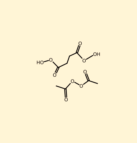 CC(=O)OOC(C)=O.O=C(CCC(=O)OO)OO